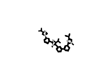 CC(C)c1cn(-c2cccc(-c3nc(C(C)C)c(-c4cccc(-c5cccc(-c6nc(C(C)C)cn6C)c5)c4)n3C)c2)cn1